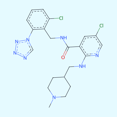 CN1CCC(CNc2ncc(Cl)cc2C(=O)NCc2c(Cl)cccc2-n2cnnn2)CC1